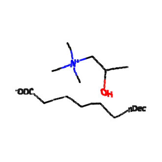 CC(O)C[N+](C)(C)C.CCCCCCCCCCCCCCCC(=O)[O-]